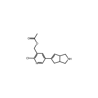 CC(=O)OCc1cc(C2=CC3CNCC3C2)cnc1Cl